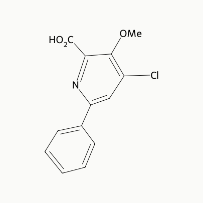 COc1c(Cl)cc(-c2ccccc2)nc1C(=O)O